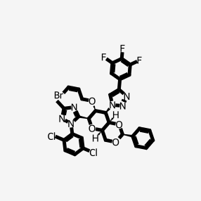 Cc1nc([C@@H]2O[C@@H]3CO[C@H](c4ccccc4)O[C@@H]3[C@H](n3cc(-c4cc(F)c(F)c(F)c4)nn3)[C@H]2OC/C=C\Br)n(-c2cc(Cl)ccc2Cl)n1